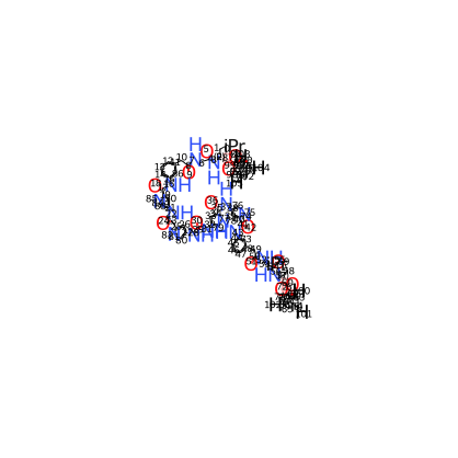 CC(C)C[C@H](NC(=O)CNC(=O)Cc1cccc(NC(=O)c2cc(NC(=O)c3cc(NC(=O)Nc4cc(C(=O)Nc5cc(C(=O)Nc6cccc(CC(=O)NCC(=O)N[C@@H](CC(C)C)B7O[C@@H]8C[C@@H]9C[C@@H](C9(C)C)[C@]8(C)O7)c6)n(C)c5)n(C)c4)cn3C)cn2C)c1)B1O[C@@H]2C[C@@H]3C[C@@H](C3(C)C)[C@]2(C)O1